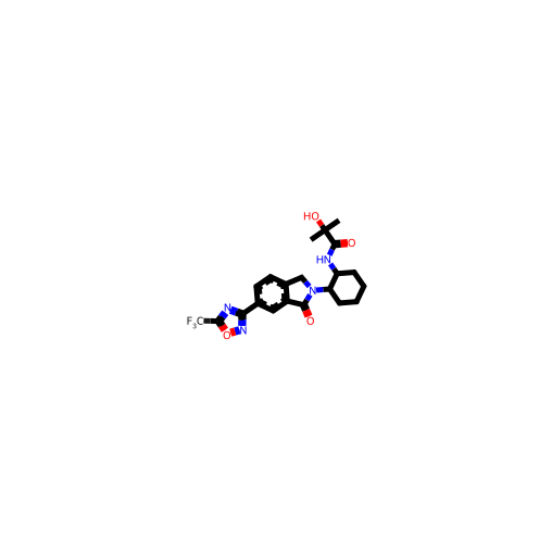 CC(C)(O)C(=O)NC1CCCCC1N1Cc2ccc(-c3noc(C(F)(F)F)n3)cc2C1=O